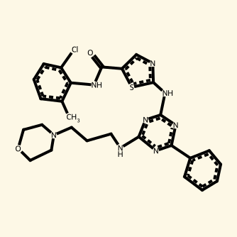 Cc1cccc(Cl)c1NC(=O)c1cnc(Nc2nc(NCCCN3CCOCC3)nc(-c3ccccc3)n2)s1